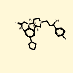 O=C1CN2c3c(cc(C4CCCC4)cc3[C@@H]3CN(CCC(O)c4ccc(F)cc4)CC[C@@H]32)N1